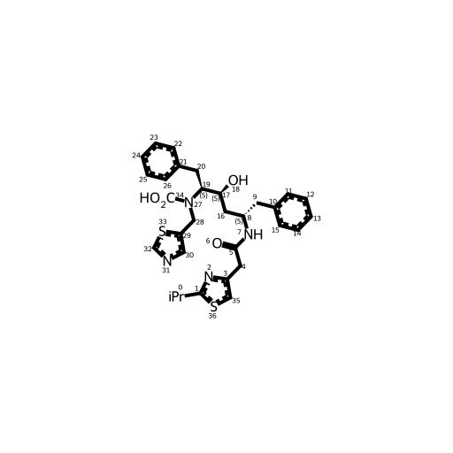 CC(C)c1nc(CC(=O)N[C@@H](Cc2ccccc2)C[C@H](O)[C@H](Cc2ccccc2)N(Cc2cncs2)C(=O)O)cs1